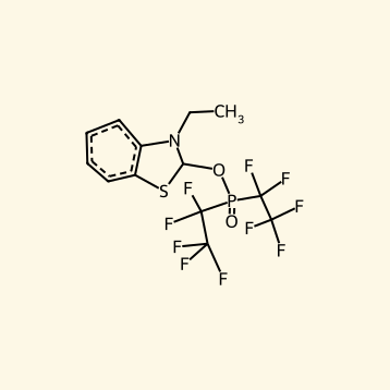 CCN1c2ccccc2SC1OP(=O)(C(F)(F)C(F)(F)F)C(F)(F)C(F)(F)F